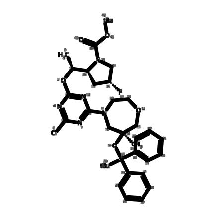 C[C@H](Oc1nc(Cl)nc(N2CCOC[C@@](C)(O[Si](c3ccccc3)(c3ccccc3)C(C)(C)C)C2)n1)[C@@H]1C[C@@H](F)CN1C(=O)OC(C)(C)C